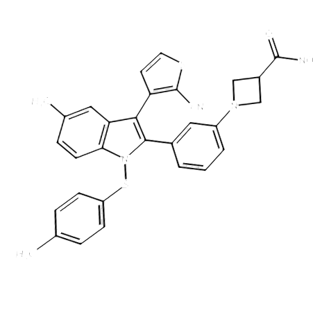 Cc1ccc(Sn2c(-c3cccc(N4CC(C(=O)N=O)C4)c3)c(-c3ccsc3C#N)c3cc(C)ccc32)cc1